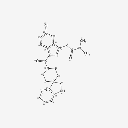 CN(C)C(=O)Cn1cc(C(=O)N2CCC3(CC2)CNc2ccccc23)c2ccc(Cl)cc21